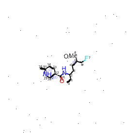 C=CC(C/C=C(\CF)OC)NC(=O)C(/C=C\C(=C)N)=C/C